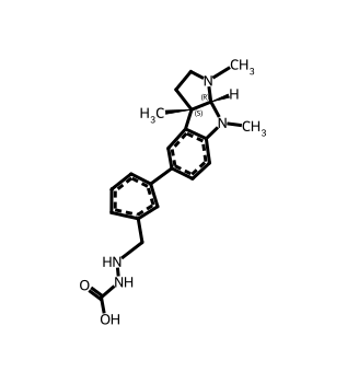 CN1CC[C@@]2(C)c3cc(-c4cccc(CNNC(=O)O)c4)ccc3N(C)[C@@H]12